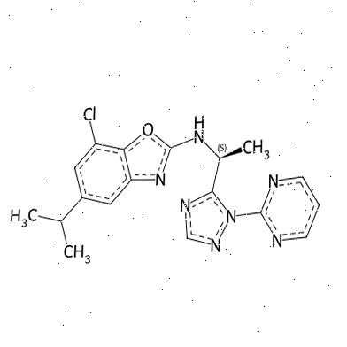 CC(C)c1cc(Cl)c2oc(N[C@@H](C)c3ncnn3-c3ncccn3)nc2c1